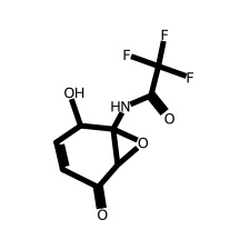 O=C1C=CC(O)C2(NC(=O)C(F)(F)F)OC12